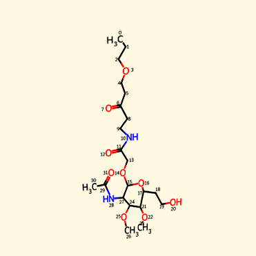 CCCOCCC(=O)CCNC(=O)COC1OC(CCO)C(OC)C(OC)C1NC(C)=O